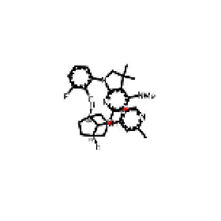 CNc1nc(NC2[C@@H]3CC[C@H]2CN(c2cc(C)ncn2)C3)nc2c1C(C)(C)CN2c1cccc(F)c1F